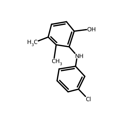 Cc1ccc(O)c(Nc2cccc(Cl)c2)c1C